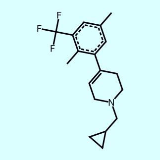 Cc1cc(C2=CCN(CC3CC3)CC2)c(C)c(C(F)(F)F)c1